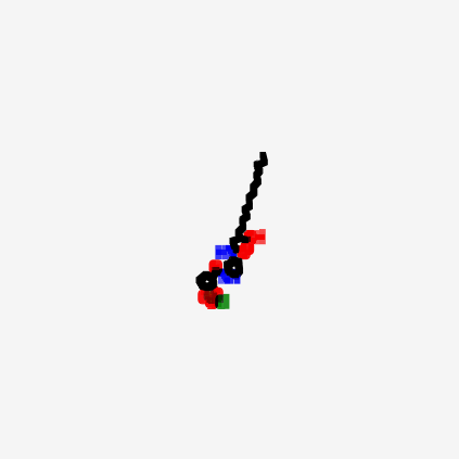 CCCCCCCCCCCCCCCC(CC(=O)Nc1cccc(NC(=O)c2cccc(S(=O)(=O)OCl)c2)c1)C(=O)O